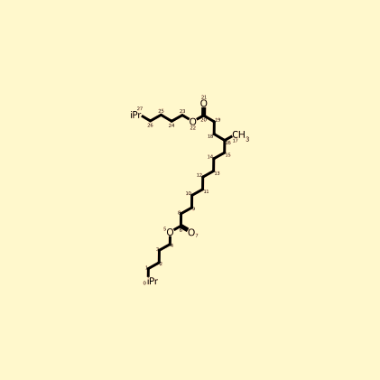 CC(C)CCCCOC(=O)CCCCCCCCC(C)CCC(=O)OCCCCC(C)C